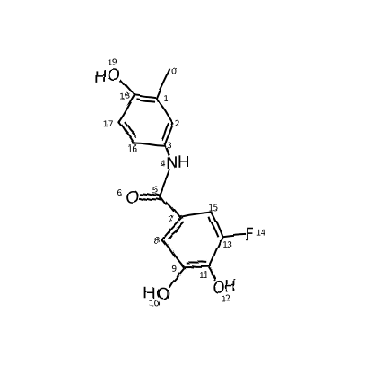 Cc1cc(NC(=O)c2cc(O)c(O)c(F)c2)ccc1O